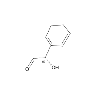 O=C[C@@H](O)C1=CCCC=C1